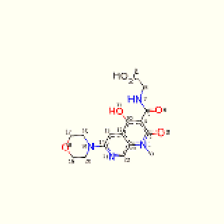 Cn1c(=O)c(C(=O)NCC(=O)O)c(O)c2cc(N3CCOCC3)ncc21